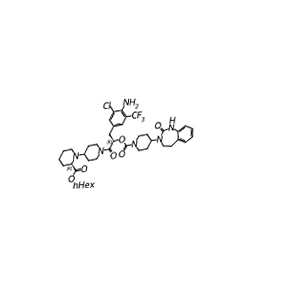 CCCCCCOC(=O)[C@H]1CCCCN1C1CCN(C(=O)[C@@H](Cc2cc(Cl)c(N)c(C(F)(F)F)c2)OC(=O)N2CCC(N3CCc4ccccc4NC3=O)CC2)CC1